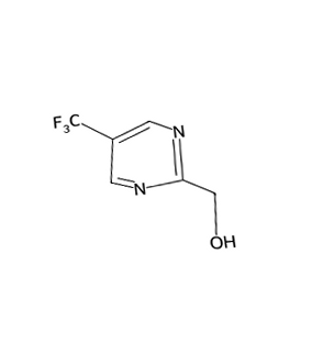 OCc1ncc(C(F)(F)F)cn1